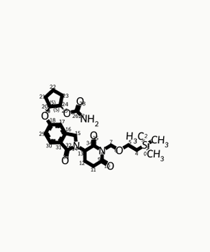 C[Si](C)(C)CCOCN1C(=O)CCC(N2Cc3cc(O[C@H]4CCC[C@@H]4OC(N)=O)ccc3C2=O)C1=O